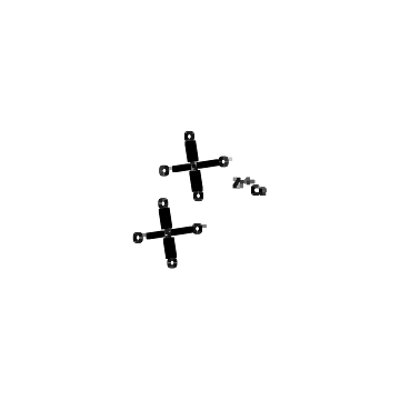 O=S(=O)([O-])[O-].O=S(=O)([O-])[O-].[Ce].[Zr+4]